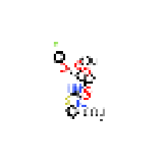 CC(C)(C)OC(=O)C(CCOc1ccc(F)cc1)CC1(C(=O)N[C@H]2CSc3ccccc3N(CC(=O)O)C2=O)CCCC1